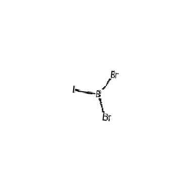 BrB(Br)I